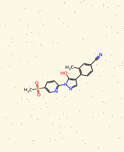 Cc1cc(C#N)ccc1-c1cnn(-c2ccc(S(C)(=O)=O)cn2)c1O